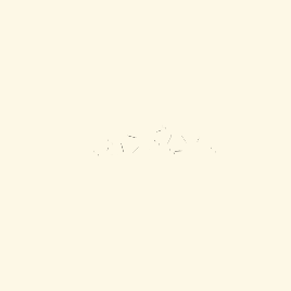 CN(C)CC(=O)c1cnc2c(c1)ncn2Cc1ccc2nc(NC3CCCCC3)sc2c1